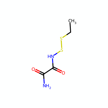 CCSSNC(=O)C(N)=O